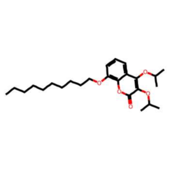 CCCCCCCCCCOc1cccc2c(OC(C)C)c(OC(C)C)c(=O)oc12